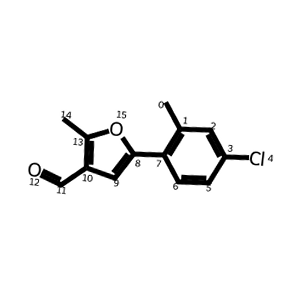 Cc1cc(Cl)ccc1-c1cc(C=O)c(C)o1